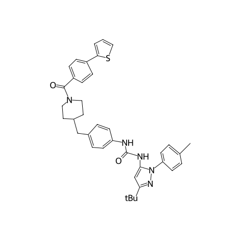 Cc1ccc(-n2nc(C(C)(C)C)cc2NC(=O)Nc2ccc(CC3CCN(C(=O)c4ccc(-c5cccs5)cc4)CC3)cc2)cc1